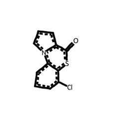 O=c1sc2c(Cl)cccc2n2cccc12